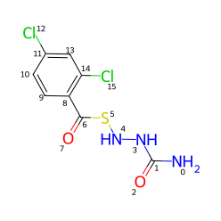 NC(=O)NNSC(=O)c1ccc(Cl)cc1Cl